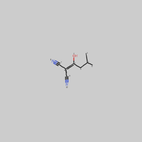 CC(C)CC(O)=C(C#N)C#N